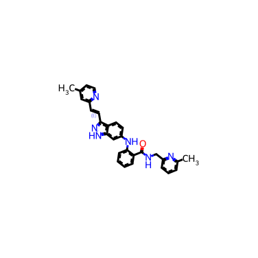 Cc1ccnc(/C=C/c2n[nH]c3cc(Nc4ccccc4C(=O)NCc4cccc(C)n4)ccc23)c1